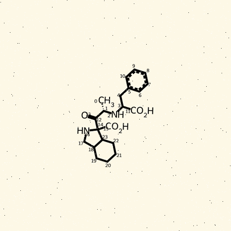 C[C@H](NC(Cc1ccccc1)C(=O)O)C(=O)C1(C(=O)O)NCC2CCCCC21